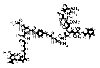 CC[C@H](C)C([C@@H](CC(=O)N1C[C@@H](OC(=O)N(C)CCNC(=O)OCc2ccc(NC(=O)[C@H](CCCNC(N)=O)NC(=O)[C@@H](NC(=O)CCCCCN3C(=O)CC(SCC4(CC(N)=O)CC4)C3=O)C(C)C)cc2)C[C@H]1[C@H](OC)[C@@H](C)C(=O)NCC(=O)c1c(F)cccc1F)OC)N(C)C(=O)[C@@H](NC(=O)[C@H](C(C)C)N(C)C)C(C)C